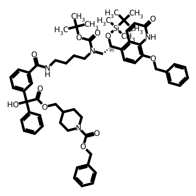 CC(C)(C)OC(=O)N(CCCCNC(=O)c1cccc(C(O)(C(=O)OCC2CCN(C(=O)OCc3ccccc3)CC2)c2ccccc2)c1)C[C@H](O[Si](C)(C)C(C)(C)C)c1ccc(OCc2ccccc2)c2[nH]c(=O)ccc12